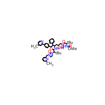 COC(=O)NC(C(=O)NCC(O)CC(NC(=O)C(N1CCN(Cc2cccc(C)n2)C1=O)C(C)(C)C)C(Cc1ccc(-c2cc(C)ccn2)cc1)c1ccccc1)C(C)(C)C